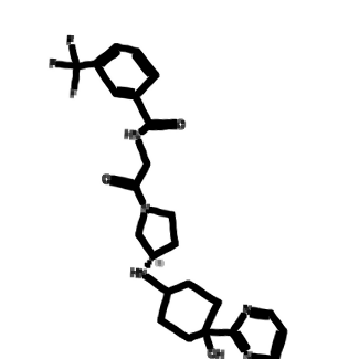 O=C(NCC(=O)N1CC[C@H](NC2CCC(O)(c3ncccn3)CC2)C1)c1cccc(C(F)(F)F)c1